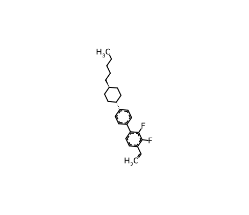 C=Cc1ccc(-c2ccc([C@H]3CC[C@H](CCCCC)CC3)cc2)c(F)c1F